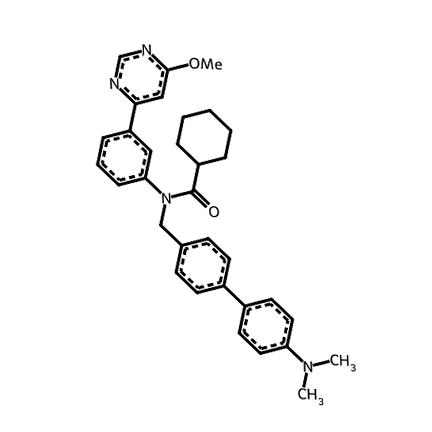 COc1cc(-c2cccc(N(Cc3ccc(-c4ccc(N(C)C)cc4)cc3)C(=O)C3CCCCC3)c2)ncn1